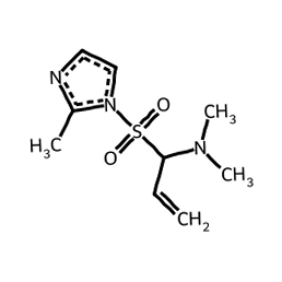 C=CC(N(C)C)S(=O)(=O)n1ccnc1C